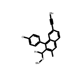 CC(=O)C(OC(C)(C)C)c1c(C)cc2ccc(C#CC(C)(C)C)cc2c1-c1ccc(Cl)cc1